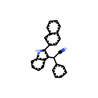 N#CC(c1ccccc1)c1c(-c2ccc3ccccc3c2)[nH]c2ccccc12